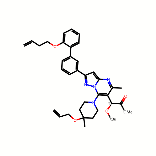 C=CCCOc1ccccc1-c1cccc(-c2cc3nc(C)c([C@H](OC(C)(C)C)C(=O)OC)c(N4CCC(C)(OCC=C)CC4)n3n2)c1